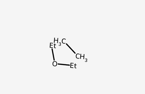 CC.CCOCC